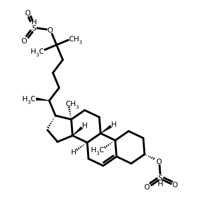 C[C@@H](CCCC(C)(C)O[SH](=O)=O)[C@H]1CC[C@H]2[C@@H]3CC=C4C[C@@H](O[SH](=O)=O)CC[C@]4(C)[C@H]3CC[C@]12C